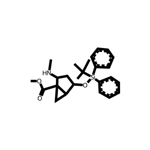 CNC1CC(O[Si](c2ccccc2)(c2ccccc2)C(C)(C)C)C2CC12C(=O)OC